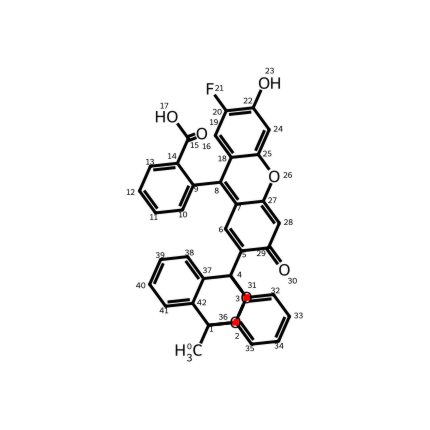 CC12OOC(c3cc4c(-c5ccccc5C(=O)O)c5cc(F)c(O)cc5oc-4cc3=O)(c3ccccc31)c1ccccc12